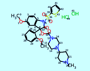 COc1ccc2c(c1)C(OC(=O)N1CCN(C3CCN(C)CC3)CC1)(c1ccccc1OC)C(=O)N2S(=O)(=O)c1cccs1.Cl.Cl